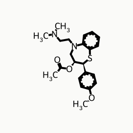 COc1ccc([C@@H]2Sc3ccccc3N(CCN(C)C)C[C@@H]2OC(C)=O)cc1